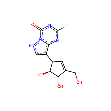 O=c1nc(F)nc2c(C3C=C(CO)[C@H](O)[C@H]3O)c[nH]n12